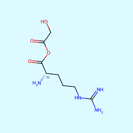 N=C(N)NCCC[C@H](N)C(=O)OC(=O)CO